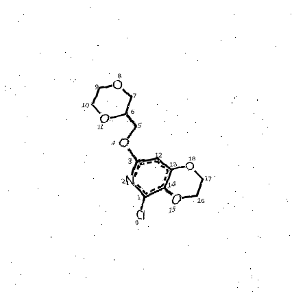 Clc1nc(OCC2COCCO2)cc2c1OCCO2